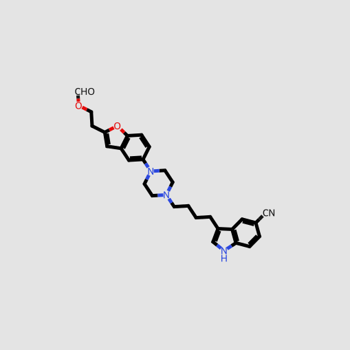 N#Cc1ccc2[nH]cc(CCCCN3CCN(c4ccc5oc(CCOC=O)cc5c4)CC3)c2c1